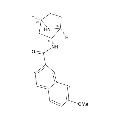 COc1ccc2cnc(C(=O)N[C@@H]3C[C@H]4CC[C@@H]3N4)cc2c1